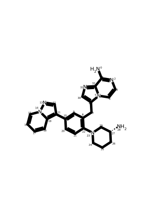 Nc1nccn2c(Cc3cc(-c4cnn5ccccc45)ccc3N3CCC[C@@H](N)C3)cnc12